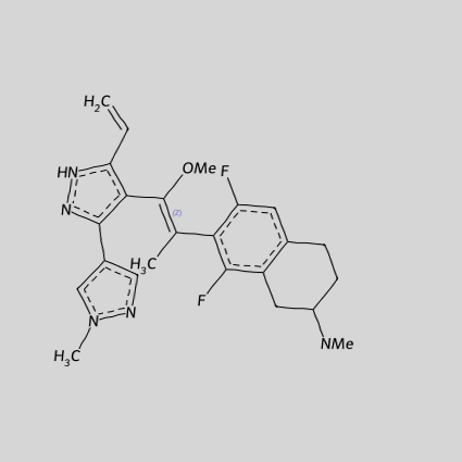 C=Cc1[nH]nc(-c2cnn(C)c2)c1/C(OC)=C(\C)c1c(F)cc2c(c1F)CC(NC)CC2